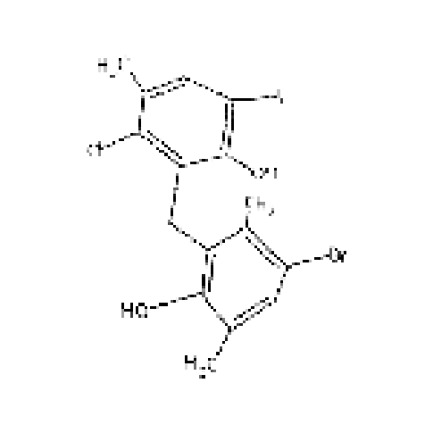 Cc1cc(Br)c(C)c(Cc2c(O)c(I)cc(C)c2Cl)c1O